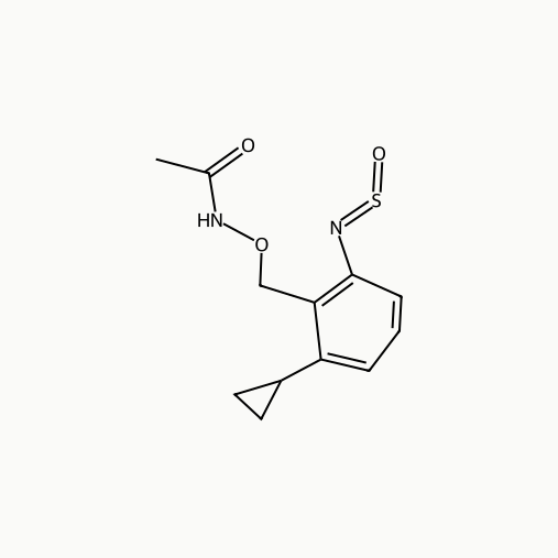 CC(=O)NOCc1c(N=S=O)cccc1C1CC1